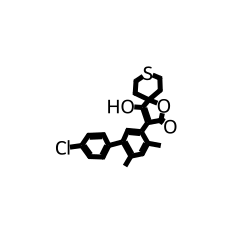 Cc1cc(C)c(-c2ccc(Cl)cc2)cc1C1=C(O)C2(CCSCC2)OC1=O